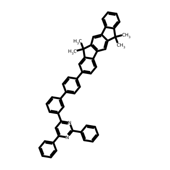 CC1(C)c2ccccc2-c2cc3c(cc21)-c1ccc(-c2ccc(-c4cccc(-c5cc(-c6ccccc6)nc(-c6ccccc6)n5)c4)cc2)cc1C3(C)C